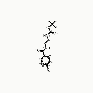 CC(C)(C)OC(=O)NCCNC(=O)c1ccc(=O)[nH]c1